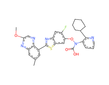 COc1cnc2c(-c3nc4cc(F)c(ON(C(=O)O)c5cccnc5C5CCCCC5)cc4s3)cc(C)cc2n1